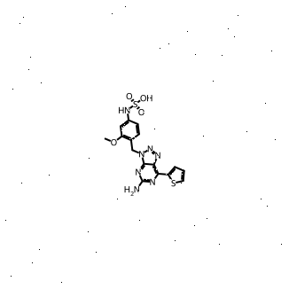 COc1cc(NS(=O)(=O)O)ccc1Cn1nnc2c(-c3cccs3)nc(N)nc21